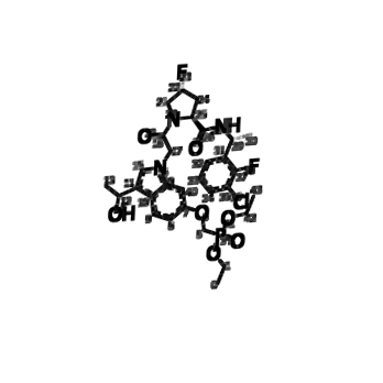 CCOP(=O)(COc1ccc2c(C(C)O)cn(CC(=O)N3C[C@H](F)C[C@H]3C(=O)N[C@H](C)c3cccc(Cl)c3F)c2c1)OCC